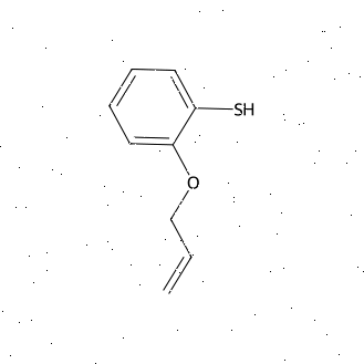 C=CCOc1ccccc1S